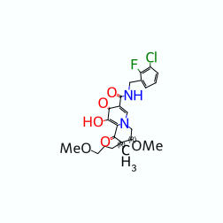 COCCC[C@@]1(C)C(=O)c2c(O)c(=O)c(C(=O)NCc3cccc(Cl)c3F)cn2C[C@@H]1OC